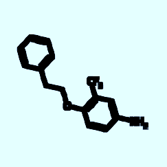 Nc1ccc(OCCc2ccccc2)c(C(F)(F)F)c1